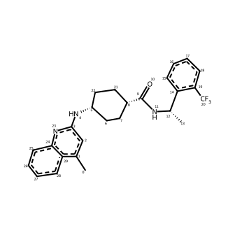 Cc1cc(N[C@H]2CC[C@@H](C(=O)N[C@@H](C)c3ccccc3C(F)(F)F)CC2)nc2ccccc12